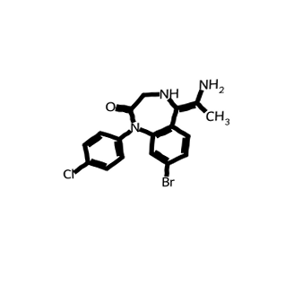 C/C(N)=C1/NCC(=O)N(c2ccc(Cl)cc2)c2cc(Br)ccc21